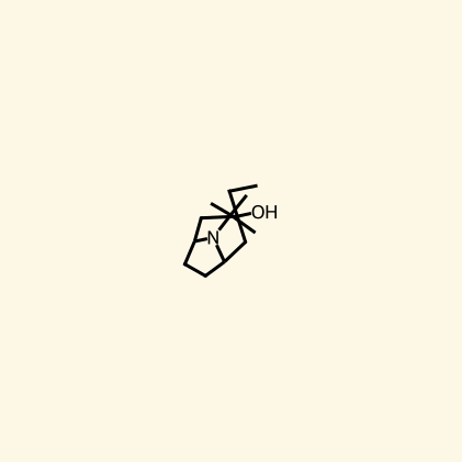 CCC1(O)CC2CCC(C1)N2C(C)(C)C